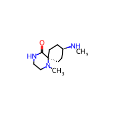 CN[C@H]1CC[C@@]2(CC1)C(=O)NCCN2C